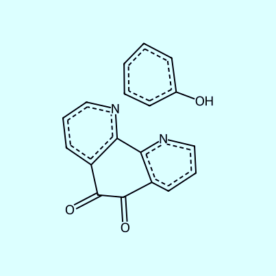 O=C1C(=O)c2cccnc2-c2ncccc21.Oc1ccccc1